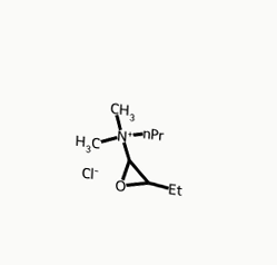 CCC[N+](C)(C)C1OC1CC.[Cl-]